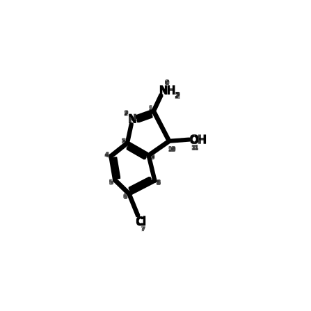 NC1=Nc2ccc(Cl)cc2C1O